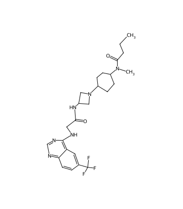 CCCC(=O)N(C)C1CCC(N2CC(NC(=O)CNc3ncnc4ccc(C(F)(F)F)cc34)C2)CC1